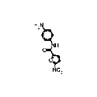 Nc1ccc(NC(=O)c2ccc([N+](=O)[O-])o2)cc1